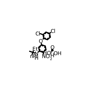 CCCC(C)(CC)Nc1cc(Oc2ccc(Cl)cc2Cl)ccc1[N+](=O)[O-].O=[PH](O)O